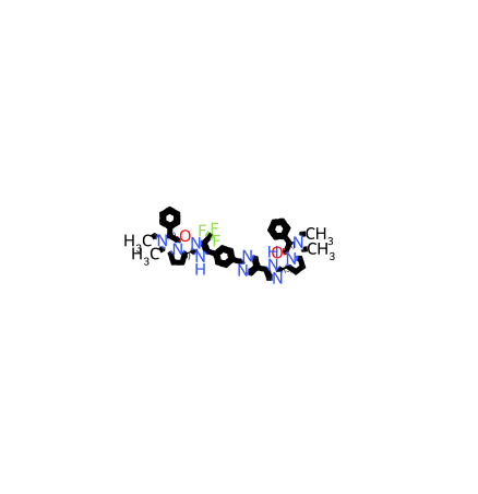 CCN(CC)[C@@H](C(=O)N1CCC[C@H]1c1ncc(-c2cnc(-c3ccc(-c4[nH]c([C@@H]5CCCN5C(=O)[C@@H](c5ccccc5)N(CC)CC)nc4C(F)(F)F)cc3)nc2)[nH]1)c1ccccc1